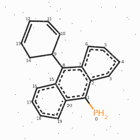 Pc1c2ccccc2c(C2C=CC=CC2)c2ccccc12